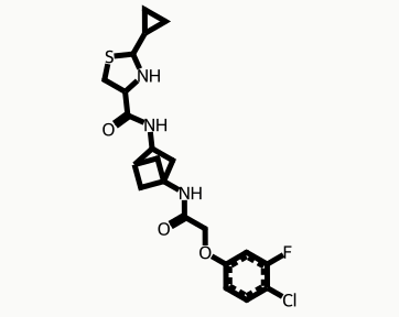 O=C(COc1ccc(Cl)c(F)c1)NC12CC(C1)C(NC(=O)C1CSC(C3CC3)N1)C2